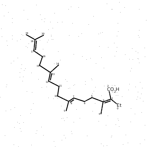 CC/C(C(=O)O)=C(\C)CC/C=C(\C)CC/C=C(\C)CCC=C(C)C